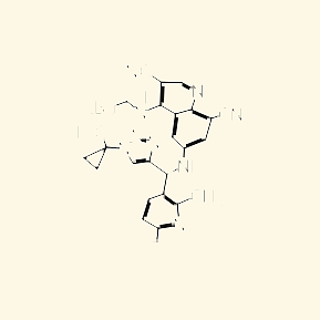 Cc1nc(F)ccc1[C@H](Nc1cc(C#N)c2ncc(C#N)c(NCC(C)(C)C)c2c1)c1cn(C2(C(F)(F)F)CC2)nn1